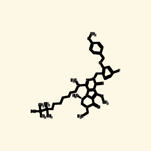 CCN1C[C@H](C)n2c(c(OC)c3c(=O)n(Cc4ccc(F)cc4OCc4ccc(OC)cc4)nc(N(C)CCCCCCCC(C)(C)[Si](C)(C)O)c32)C1=O